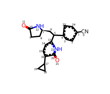 N#Cc1ccc(C(C[C@H]2CCC(=O)N2)c2ccc(C3CC3)c(=O)[nH]2)cc1